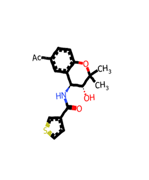 CC(=O)c1ccc2c(c1)[C@H](NC(=O)c1ccsc1)[C@@H](O)C(C)(C)O2